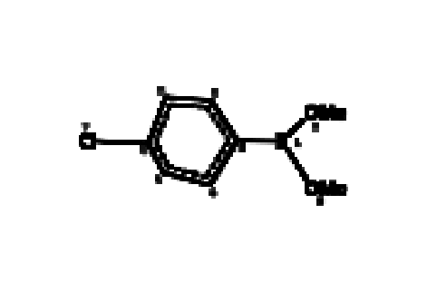 COB(OC)c1ccc(Cl)cc1